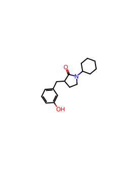 O=C1C(Cc2cccc(O)c2)CCN1C1CCCCC1